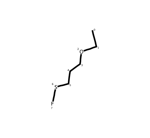 CCOCCCSF